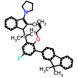 C=CCOc1c(-c2ccc3c(c2)C(C)(C)c2ccccc2-3)cc(F)cc1[Si](C)(C)C1C(C)=C(N2CCCC2)c2ccccc21